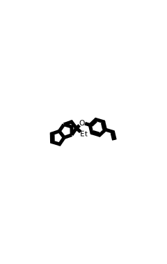 C=Cc1ccc(OC2(CC)CC3CC2C2CC=CC32)cc1